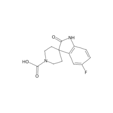 O=C(O)N1CCC2(CC1)C(=O)Nc1ccc(F)cc12